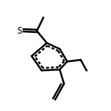 C=Cc1ccc(C(C)=S)cc1CC